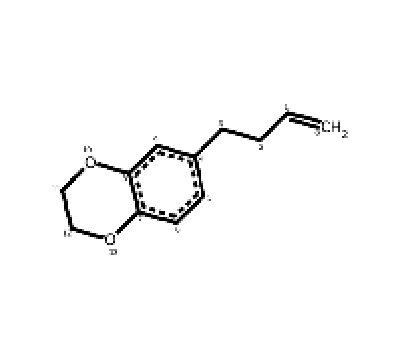 C=CCCc1ccc2c(c1)OCCO2